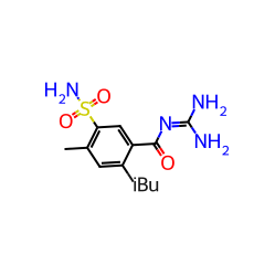 CCC(C)c1cc(C)c(S(N)(=O)=O)cc1C(=O)N=C(N)N